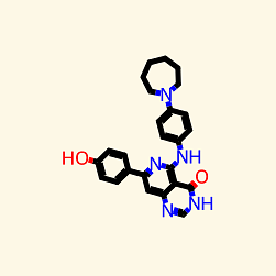 O=c1[nH]cnc2cc(-c3ccc(O)cc3)nc(Nc3ccc(N4CCCCCC4)cc3)c12